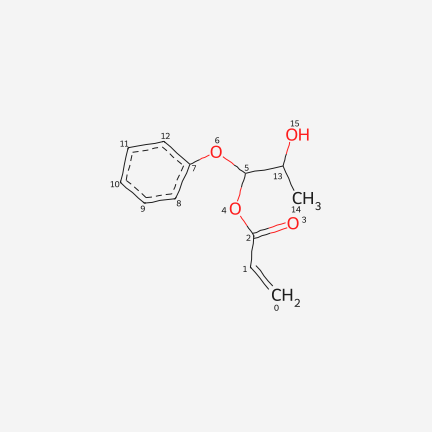 C=CC(=O)OC(Oc1ccccc1)C(C)O